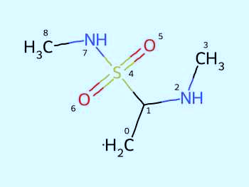 [CH2]C(NC)S(=O)(=O)NC